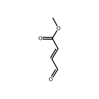 COC(=O)C=CC=O